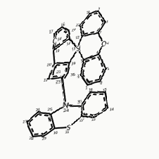 c1ccc2c(c1)Oc1ccccc1[Si]21c2ccccc2-c2ccc(N3c4ccccc4Sc4ccccc43)cc21